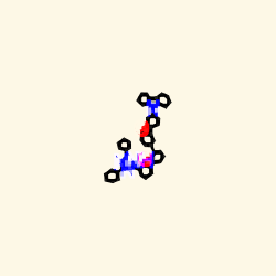 c1ccc(C2=NC(c3cccc4c3oc3c(-c5ccc6oc7cc(-n8c9ccccc9c9ccccc98)ccc7c6c5)cccc34)NC(c3ccccc3)=N2)cc1